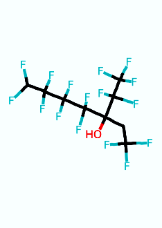 OC(CC(F)(F)F)(C(F)(F)C(F)(F)F)C(F)(F)C(F)(F)C(F)(F)C(F)F